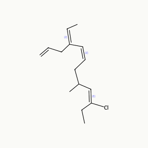 C=CCC(/C=C\CC(C)/C=C(/Cl)CC)=C/C